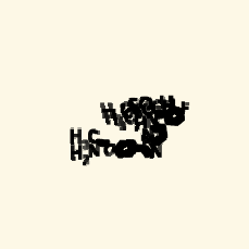 CS(=O)(=O)O.CS(=O)(=O)O.C[C@@H](N)COc1ccc(-c2cnc3ccc(N[C@H](C)c4cccc(F)c4)nn23)cc1